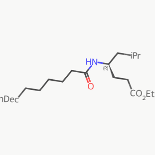 CCCCCCCCCCCCCCCC(=O)N[C@H](CCC(=O)OCC)CC(C)C